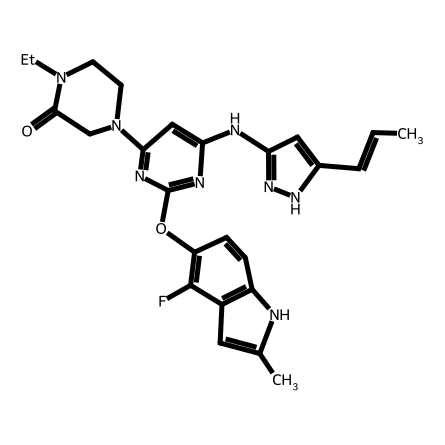 C/C=C/c1cc(Nc2cc(N3CCN(CC)C(=O)C3)nc(Oc3ccc4[nH]c(C)cc4c3F)n2)n[nH]1